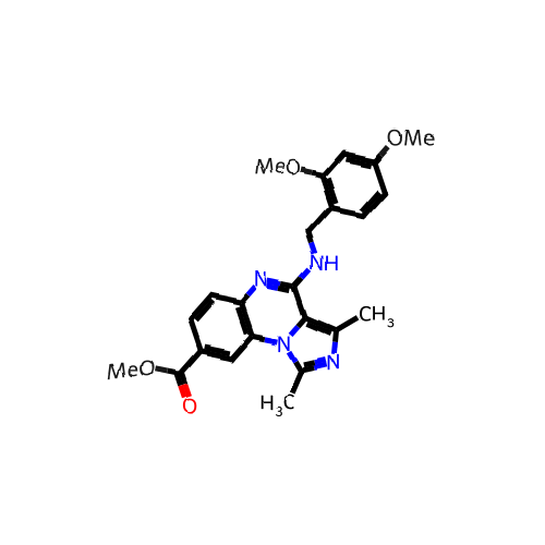 COC(=O)c1ccc2nc(NCc3ccc(OC)cc3OC)c3c(C)nc(C)n3c2c1